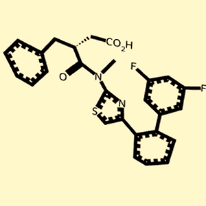 CN(C(=O)[C@@H](CC(=O)O)Cc1ccccc1)c1nc(-c2ccccc2-c2cc(F)cc(F)c2)cs1